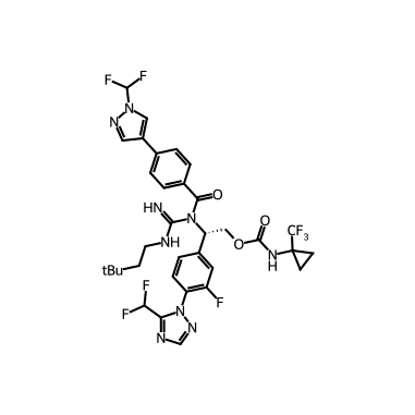 CC(C)(C)CCNC(=N)N(C(=O)c1ccc(-c2cnn(C(F)F)c2)cc1)[C@H](COC(=O)NC1(C(F)(F)F)CC1)c1ccc(-n2ncnc2C(F)F)c(F)c1